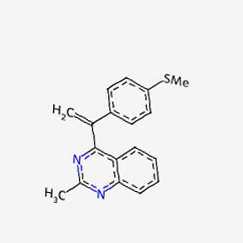 C=C(c1ccc(SC)cc1)c1nc(C)nc2ccccc12